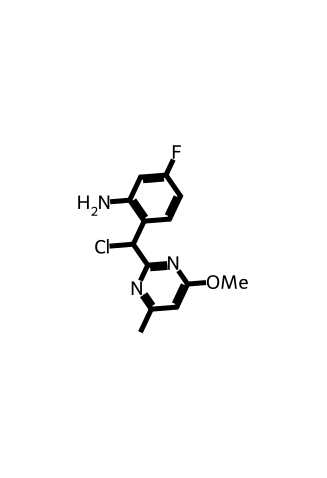 COc1cc(C)nc(C(Cl)c2ccc(F)cc2N)n1